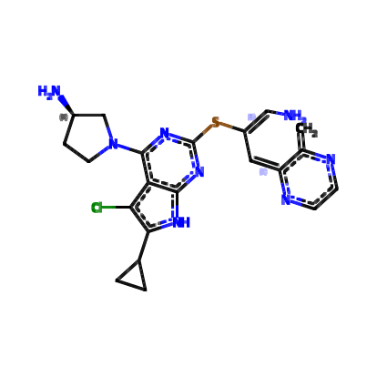 C=c1nccn/c1=C/C(=C\N)Sc1nc(N2CC[C@@H](N)C2)c2c(Cl)c(C3CC3)[nH]c2n1